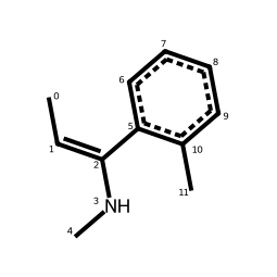 C/C=C(/NC)c1ccccc1C